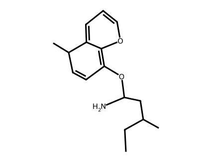 CCC(C)CC(N)OC1=C2OC=CC=C2C(C)C=C1